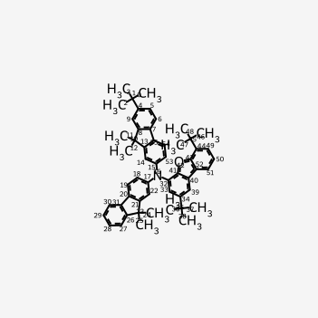 CC(C)(C)c1ccc2c(c1)C(C)(C)c1cc(N(c3ccc4c(c3)C(C)(C)c3ccccc3-4)c3cc(C(C)(C)C)cc4c3oc3c(C(C)(C)C)cccc34)ccc1-2